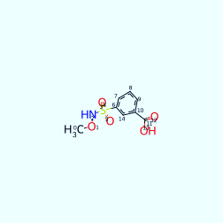 CONS(=O)(=O)c1cccc(C(=O)O)c1